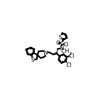 CN(C[C@H](CCN1CCC2(CC1)CSc1ccccc12)c1ccc(Cl)c(Cl)c1)S(=O)(=O)c1cccs1